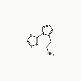 NCCc1cccn1-c1nncs1